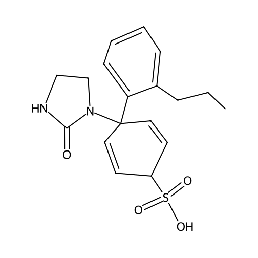 CCCc1ccccc1C1(N2CCNC2=O)C=CC(S(=O)(=O)O)C=C1